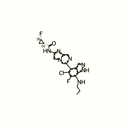 CCCNc1c(F)c(Cl)c(-c2cn3cc(NC(=O)[C@@H]4C[C@@H]4F)nc3cn2)c2cn[nH]c12